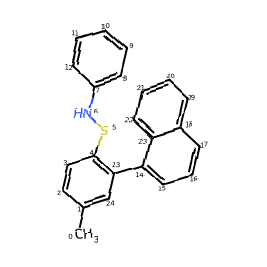 Cc1ccc(SNc2ccccc2)c(-c2cccc3ccccc23)c1